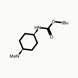 CN[C@H]1CC[C@@H](NC(=O)OC(C)(C)C)CC1